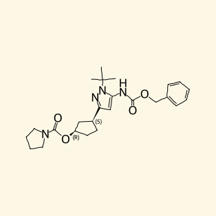 CC(C)(C)n1nc([C@H]2CC[C@@H](OC(=O)N3CCCC3)C2)cc1NC(=O)OCc1ccccc1